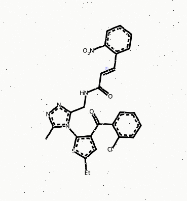 CCc1cc(C(=O)c2ccccc2Cl)c(-n2c(C)nnc2CNC(=O)/C=C/c2ccccc2[N+](=O)[O-])s1